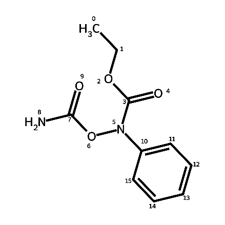 CCOC(=O)N(OC(N)=O)c1ccccc1